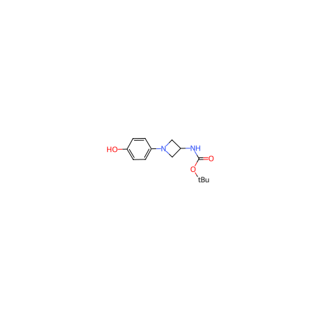 CC(C)(C)OC(=O)NC1CN(c2ccc(O)cc2)C1